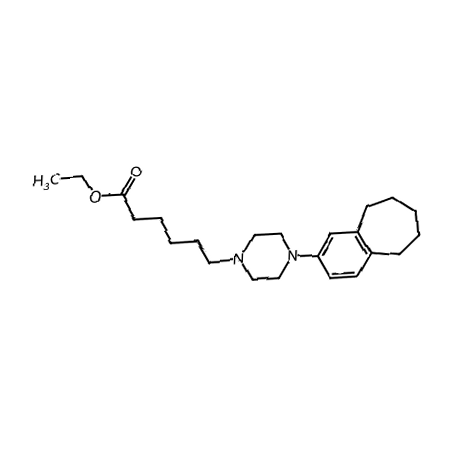 CCOC(=O)CCCCCN1CCN(c2ccc3c(c2)CCCCC3)CC1